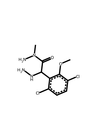 COc1c(Cl)ccc(Cl)c1C(NN)C(=O)N(C)N